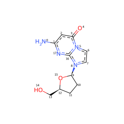 Nc1cc(=O)n2ccn([C@H]3CC[C@@H](CO)O3)c2n1